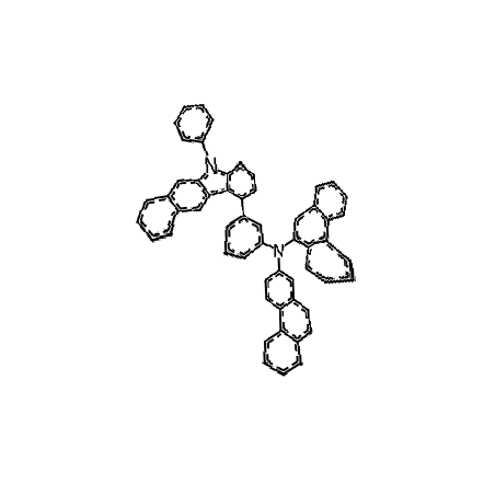 c1ccc(-n2c3cc4ccccc4cc3c3c(-c4cccc(N(c5ccc6c(ccc7ccccc76)c5)c5cc6ccccc6c6ccccc56)c4)cccc32)cc1